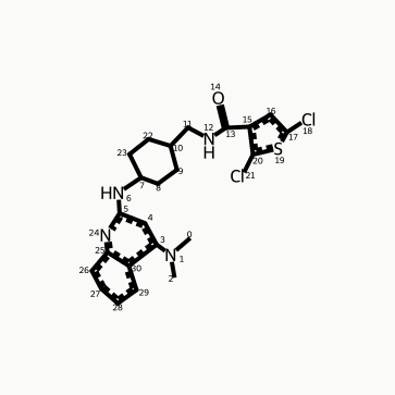 CN(C)c1cc(NC2CCC(CNC(=O)c3cc(Cl)sc3Cl)CC2)nc2ccccc12